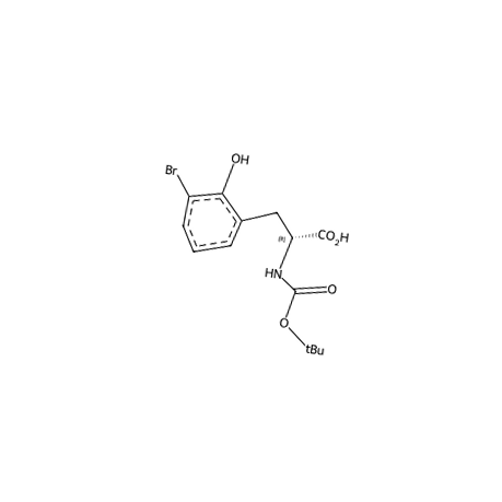 CC(C)(C)OC(=O)N[C@H](Cc1cccc(Br)c1O)C(=O)O